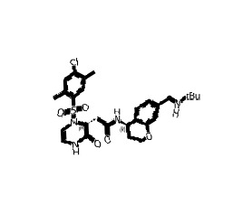 Cc1cc(S(=O)(=O)N2C=CNC(=O)[C@H]2CC(=O)N[C@@H]2CCOc3cc(CNC(C)(C)C)ccc32)c(C)cc1Cl